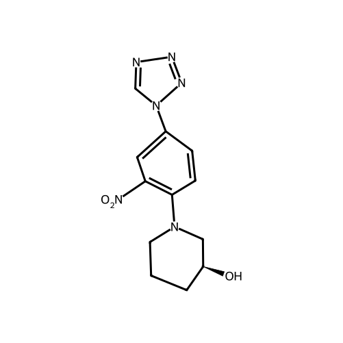 O=[N+]([O-])c1cc(-n2cnnn2)ccc1N1CCC[C@H](O)C1